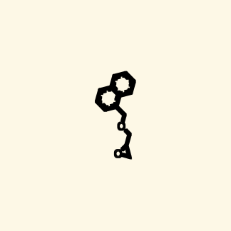 c1ccc2c(COCC3CO3)cccc2c1